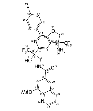 COc1cc(C(=O)NC[C@](O)(c2cc3c(c(-c4ccc(F)cc4)n2)OC[C@@]3(N)C(F)(F)F)C(F)(F)F)cc2cccnc12